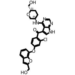 O=C(c1ccc(Oc2cccc3cc(CO)oc23)cc1Cl)c1c[nH]c2ncnc(N[C@@H]3CC[C@@H](CO)OC3)c12